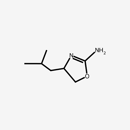 CC(C)CC1COC(N)=N1